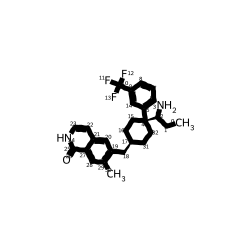 CCC(N)[C@]1(c2cccc(C(F)(F)F)c2)CC[C@H](Cc2cc3cc[nH]c(=O)c3cc2C)CC1